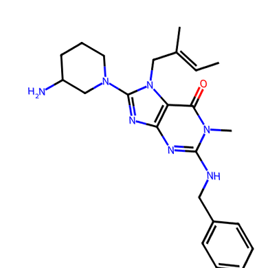 CC=C(C)Cn1c(N2CCCC(N)C2)nc2nc(NCc3ccccc3)n(C)c(=O)c21